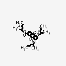 CCCCC(CC)CNc1ccc(NCC(CC)CCCC)c2c1C(=O)c1ccc(C(=O)OCC(CC)CCCC)cc1C2=O